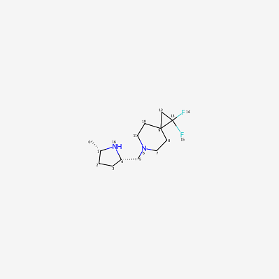 C[C@H]1CC[C@@H](CN2CCC3(CC2)CC3(F)F)N1